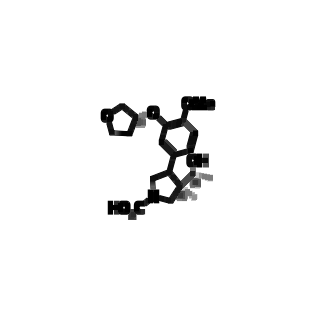 COc1ccc(C2CN(C(=O)O)C[C@]2(C)[C@@H](C)O)cc1O[C@@H]1CCOC1